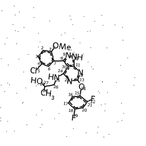 COc1ccc(Cl)cc1-c1n[nH]c2nc(Oc3ccc(F)cc3F)nc(NCC(C)O)c12